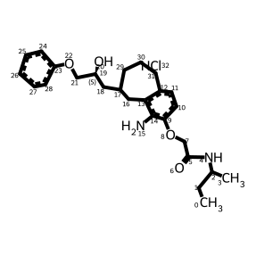 CCC(C)NC(=O)COc1ccc2c(c1N)CC(C[C@H](O)COc1ccccc1)CCC2.Cl